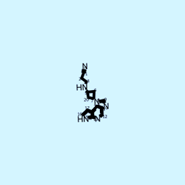 N#CCCNC1CC(n2cnc3cnc4[nH]ccc4c32)C1